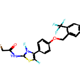 O=C(CBr)NC1SC(F)=C(c2ccc(OCc3ccccc3C(F)(F)F)cc2)N1F